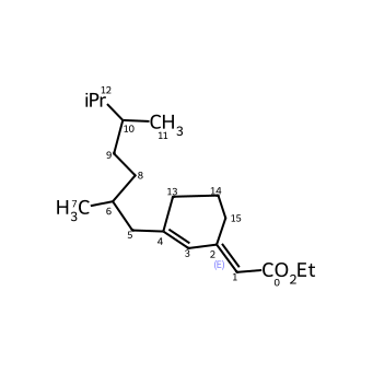 CCOC(=O)/C=C1/C=C(CC(C)CCC(C)C(C)C)CCC1